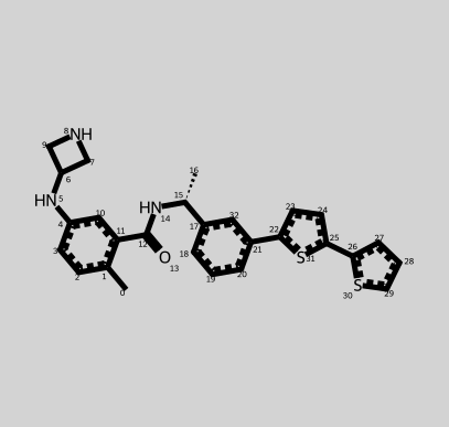 Cc1ccc(NC2CNC2)cc1C(=O)N[C@H](C)c1cccc(-c2ccc(-c3cccs3)s2)c1